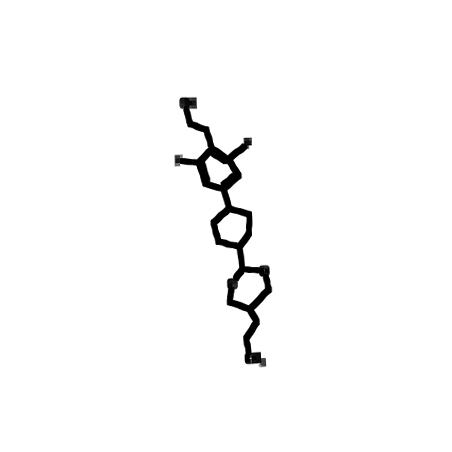 CCCC1COC(C2CCC(c3cc(F)c(CCO)c(F)c3)CC2)OC1